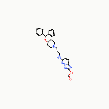 O=[C]Oc1nc2ccc(NCCCN3CCC(OC(c4ccccc4)c4ccccc4)CC3)nn2n1